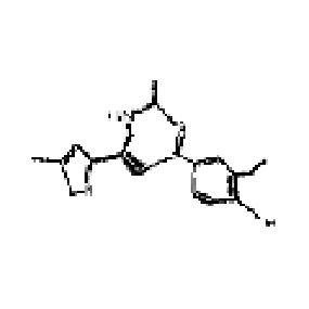 C=C1N=C(c2ccc(O)c(C)c2)C=C(C2=NCC(C)=C2)N1